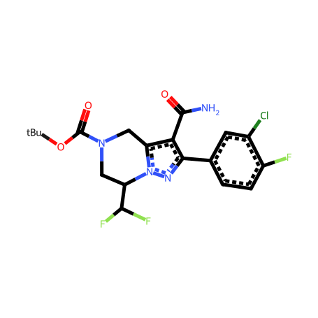 CC(C)(C)OC(=O)N1Cc2c(C(N)=O)c(-c3ccc(F)c(Cl)c3)nn2C(C(F)F)C1